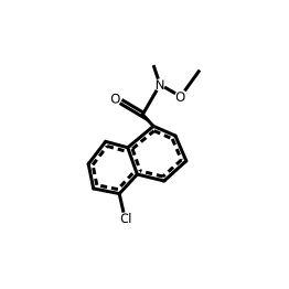 CON(C)C(=O)c1cccc2c(Cl)cccc12